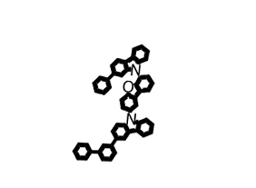 c1ccc(-c2cccc(-c3ccc4c(c3)c3ccccc3n4-c3ccc4oc5c(-n6c7ccccc7c7ccc(-c8ccccc8)cc76)cccc5c4c3)c2)cc1